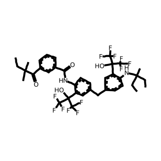 CCC(C)(CC)Nc1ccc(Cc2ccc(NC(=O)c3cccc(C(=O)C(C)(C)CC)c3)c(C(O)(C(F)(F)F)C(F)(F)F)c2)cc1C(O)(C(F)(F)F)C(F)(F)F